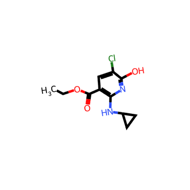 CCOC(=O)c1cc(Cl)c(O)nc1NC1CC1